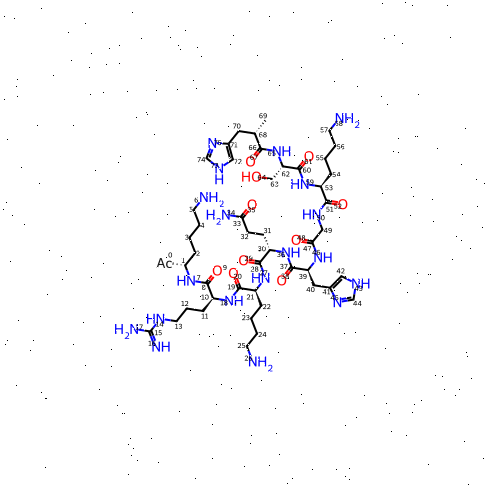 CC(=O)[C@H](CCCCN)NC(=O)[C@H](CCCNC(=N)N)NC(=O)[C@H](CCCCN)NC(=O)[C@H](CCC(N)=O)NC(=O)[C@H](Cc1c[nH]cn1)NC(=O)CNC(=O)[C@H](CCCCN)NC(=O)[C@H](CO)NC(=O)[C@@H](C)Cc1c[nH]cn1